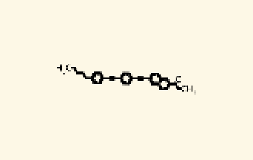 C=CC(=O)c1ccc2cc(C#Cc3ccc(C#Cc4ccc(CCCCC)cc4)cc3)ccc2c1